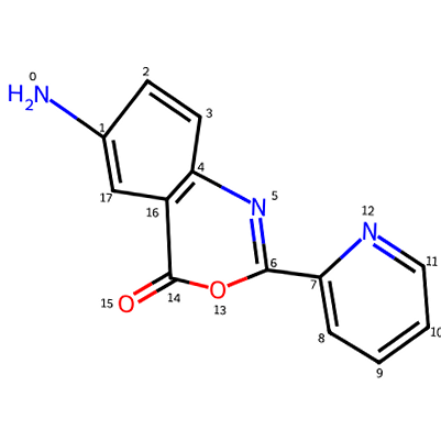 Nc1ccc2nc(-c3ccccn3)oc(=O)c2c1